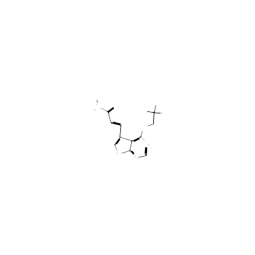 CN(C)C(=O)/C=C/c1c[nH]c2ncnc(OCC(C)(C)O)c12